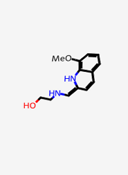 COc1cccc2c1NC(=CNCCO)C=C2